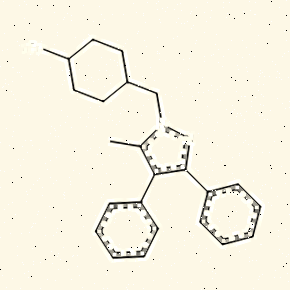 CCCC1CCC(Cn2nc(-c3ccccc3)c(-c3ccccc3)c2C)CC1